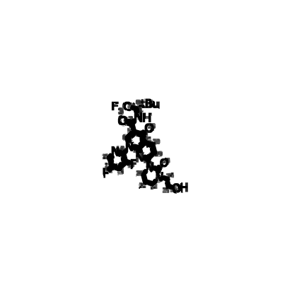 CC(C)(C)[C@H](NC(=O)c1cn(-c2ncc(F)cc2F)c2nc(N3CCCN(CCO)C3=O)ccc2c1=O)C(F)(F)F